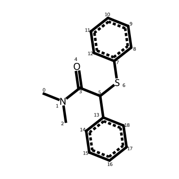 CN(C)C(=O)C(Sc1ccccc1)c1ccccc1